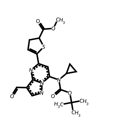 COC(=O)C1CC=C(c2cc(N(C(=O)OC(C)(C)C)C3CC3)n3ncc(C=O)c3n2)S1